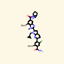 COc1cc(-c2ccc3cc(-c4nc5cc(C(=O)N6CC7CCC6C7N)cc(OC)c5n4C)n(CC4CC4)c3n2)c(F)cc1C(N)=O